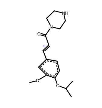 COc1cc(/C=C/C(=O)N2CCNCC2)ccc1OC(C)C